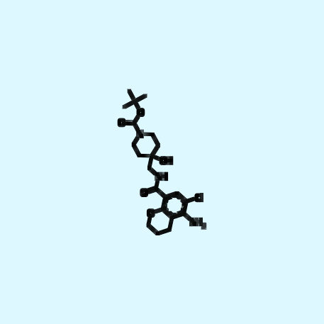 CC(C)(C)OC(=O)N1CCC(O)(CNC(=O)c2cc(Cl)c(N)c3c2OCCC3)CC1